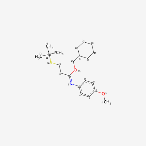 COc1ccc(/N=C(/CCS[Si](C)(C)C)OCC2CCCCC2)cc1